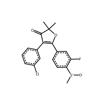 C[S+]([O-])c1ccc(C2=C(c3cccc(Cl)c3)C(=O)C(C)(C)O2)cc1F